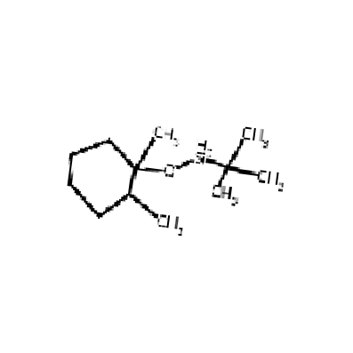 CC1CCCCC1(C)O[SiH2]C(C)(C)C